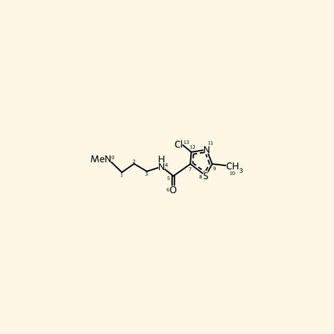 CNCCCNC(=O)c1sc(C)nc1Cl